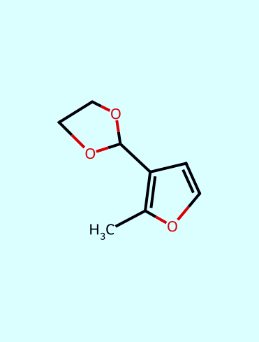 Cc1occc1C1OCCO1